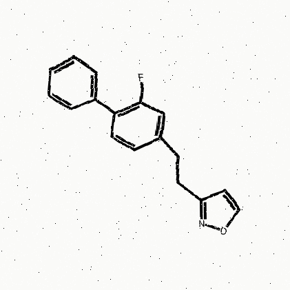 Fc1cc(CCc2c[c]on2)ccc1-c1ccccc1